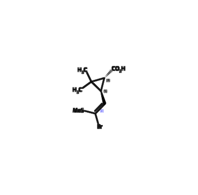 CS/C(Br)=C\[C@@H]1[C@@H](C(=O)O)C1(C)C